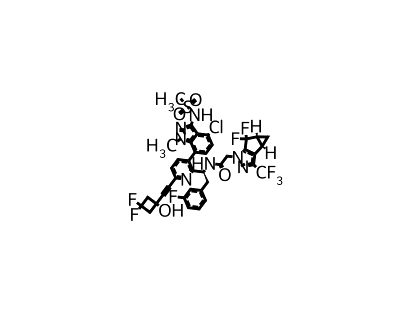 Cn1nc(NS(C)(=O)=O)c2c(Cl)ccc(-c3ccc(C#CC4(O)CC(F)(F)C4)nc3[C@H](Cc3cccc(F)c3)NC(=O)Cn3nc(C(F)(F)F)c4c3C(F)(F)[C@@H]3C[C@H]43)c21